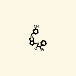 CC(C)C(C(=O)NC1CCC2CN(Cc3cccc(C#N)c3)CC21)c1ccccc1